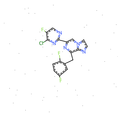 Fc1ccc(F)c(Cc2nc(-c3ncc(F)c(Cl)n3)cn3ccnc23)c1